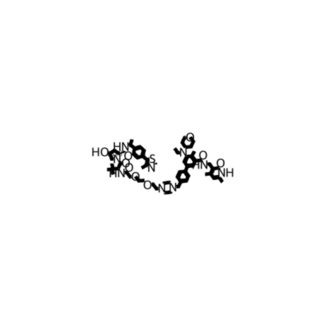 CCN(c1cc(-c2ccc(CN3CCN(CCOCCOCC(=O)NC(C(=O)N4C[C@H](O)C[C@H]4C(=O)NC(C)c4ccc(-c5scnc5C)cc4)C(C)(C)C)CC3)cc2)cc(C(=O)NCc2c(C)cc(C)[nH]c2=O)c1C)C1CCOCC1